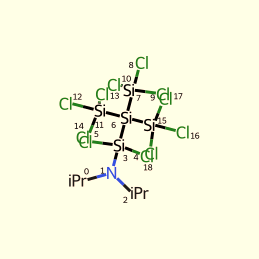 CC(C)N(C(C)C)[Si](Cl)(Cl)[Si]([Si](Cl)(Cl)Cl)([Si](Cl)(Cl)Cl)[Si](Cl)(Cl)Cl